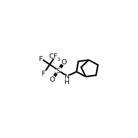 O=S(=O)(NC1CC2CCC1C2)C(F)(F)C(F)(F)F